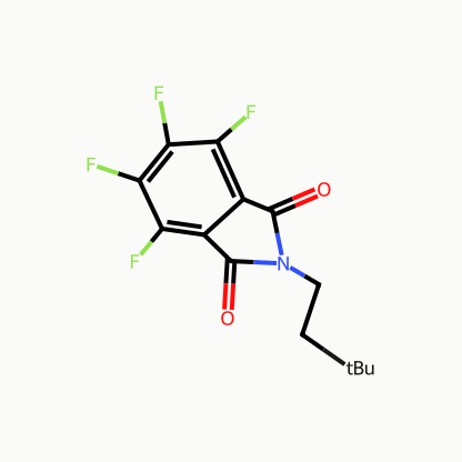 CC(C)(C)CCN1C(=O)c2c(F)c(F)c(F)c(F)c2C1=O